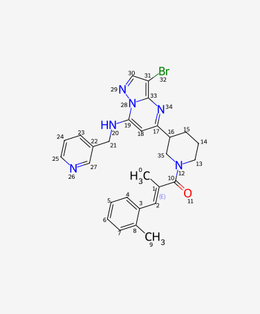 C/C(=C\c1ccccc1C)C(=O)N1CCCC(c2cc(NCc3cccnc3)n3ncc(Br)c3n2)C1